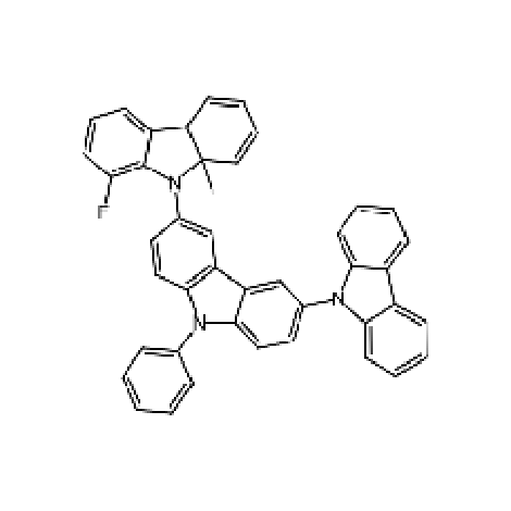 CC12C=CC=CC1c1cccc(F)c1N2c1ccc2c(c1)c1cc(-n3c4ccccc4c4ccccc43)ccc1n2-c1ccccc1